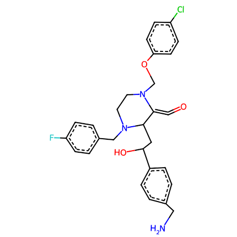 NCc1ccc(C(O)CC2C(=C=O)N(COc3ccc(Cl)cc3)CCN2Cc2ccc(F)cc2)cc1